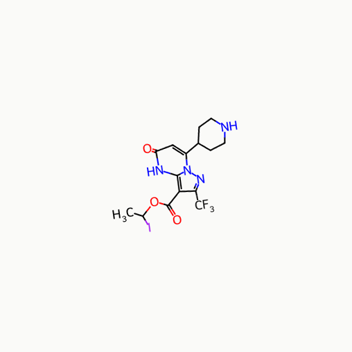 CC(I)OC(=O)c1c(C(F)(F)F)nn2c(C3CCNCC3)cc(=O)[nH]c12